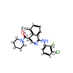 CCc1cccc2c(Nc3cccc(Cl)c3F)ncc(C(=O)N3CCCCC3)c12